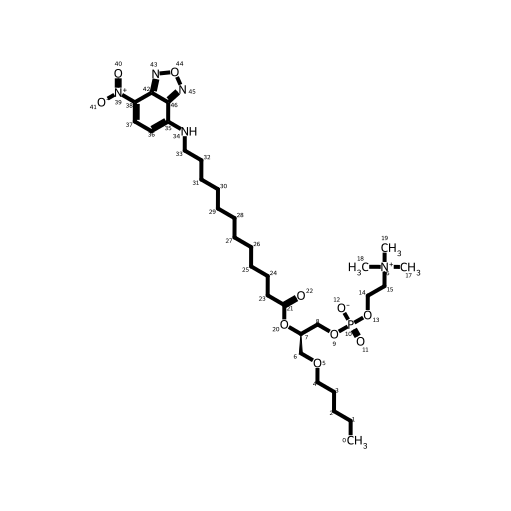 CCCCCOC[C@H](COP(=O)([O-])OCC[N+](C)(C)C)OC(=O)CCCCCCCCCCCNc1ccc([N+](=O)[O-])c2nonc12